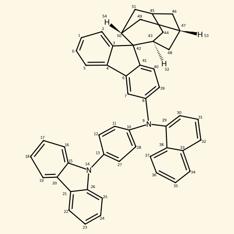 c1ccc2c(c1)-c1cc(N(c3ccc(-n4c5ccccc5c5ccccc54)cc3)c3cccc4ccccc34)ccc1C21[C@H]2CC3C[C@H](C2)C[C@H]1C3